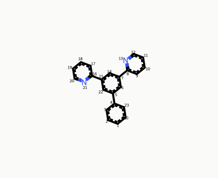 [c]1cccc(-c2cc(-c3ccccn3)cc(-c3ccccn3)c2)c1